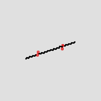 CCCCCCCCOC(=O)CCCCCCCCCCCCCCC(=O)OCCCCCCCC